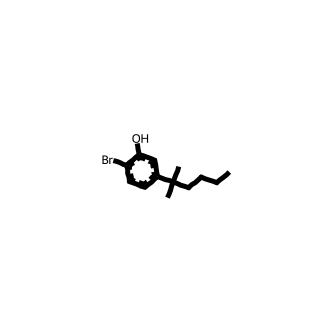 CCCCC(C)(C)c1ccc(Br)c(O)c1